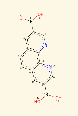 OB(O)c1cnc2c(ccc3cc(B(O)O)cnc32)c1